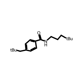 CC(C)(C)CCCNC(=O)c1ccc(CC(C)(C)C)cc1